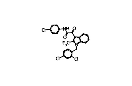 O=C(Nc1ccc(Cl)cc1)C(=O)c1c(C(F)(F)F)n(Cc2ccc(Cl)cc2Cl)c2ccccc12